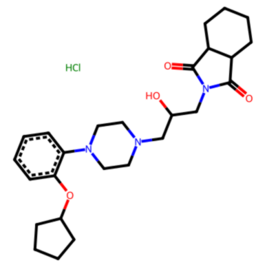 Cl.O=C1C2CCCCC2C(=O)N1CC(O)CN1CCN(c2ccccc2OC2CCCC2)CC1